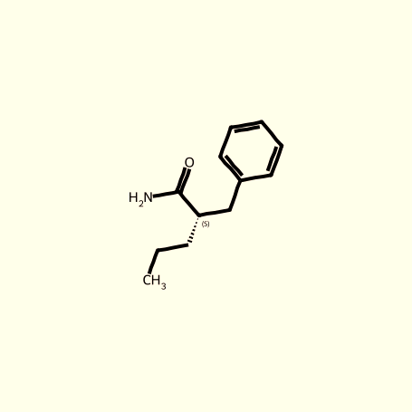 CCC[C@@H](Cc1ccccc1)C(N)=O